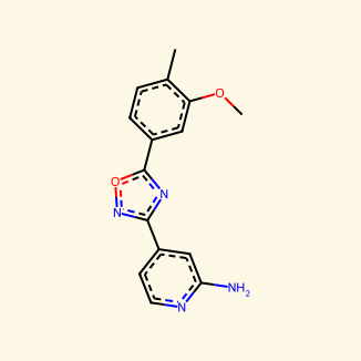 COc1cc(-c2nc(-c3ccnc(N)c3)no2)ccc1C